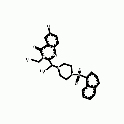 CCn1c(C(C)N2CCN(S(=O)(=O)c3cccc4ccccc34)CC2)nc2ccc(Cl)cc2c1=O